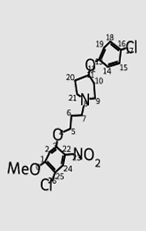 COc1cc(OCCCN2CCC(Oc3ccc(Cl)cc3)CC2)c([N+](=O)[O-])cc1Cl